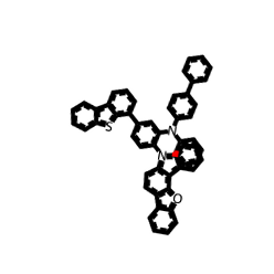 c1ccc(-c2ccc(N(c3ccccc3)c3cc(-c4cccc5c4sc4ccccc45)ccc3-n3c4ccccc4c4c5oc6ccccc6c5ccc43)cc2)cc1